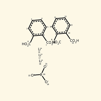 O=C(O)c1ccccc1C(=O)O.O=C(O)c1ccccc1C(=O)O.[Li+].[Li+].[Li+].[O-]B([O-])[O-]